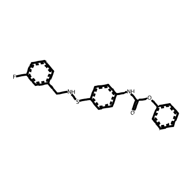 O=C(Nc1ccc(SNCc2cccc(F)c2)cc1)Oc1ccccc1